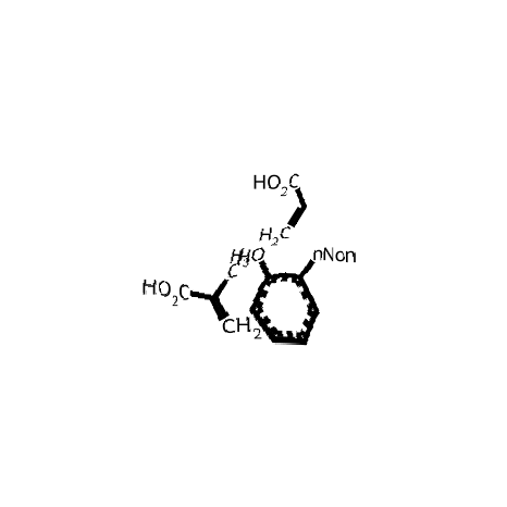 C=C(C)C(=O)O.C=CC(=O)O.CCCCCCCCCc1ccccc1O